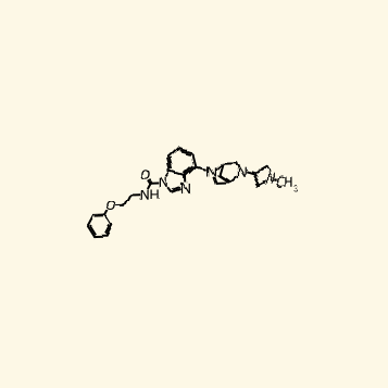 CN1CC(N2CC3CC2CN3c2cccc3c2ncn3C(=O)NCCOc2ccccc2)C1